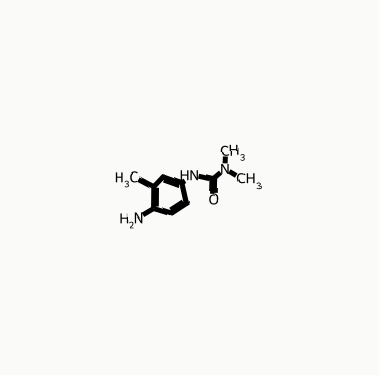 Cc1cc(NC(=O)N(C)C)ccc1N